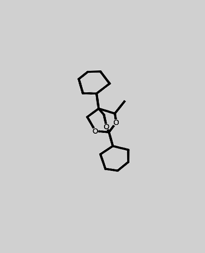 CC1OC2(C3CCCCC3)OCC1(C1CCCCC1)CO2